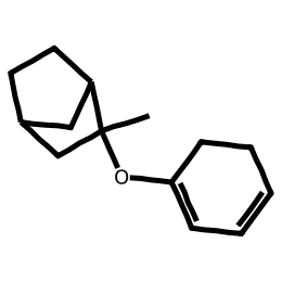 CC1(OC2=CC=CCC2)CC2CCC1C2